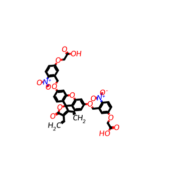 C=CC1=C(C=C)C2(OC1=O)c1ccc(OCc3cc(OCC(=O)O)ccc3[N+](=O)[O-])cc1Oc1cc(OCc3cc(OCC(=O)O)ccc3[N+](=O)[O-])ccc12